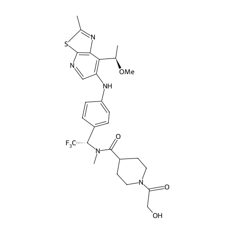 CO[C@H](C)c1c(Nc2ccc([C@H](N(C)C(=O)C3CCN(C(=O)CO)CC3)C(F)(F)F)cc2)cnc2sc(C)nc12